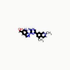 Cc1cc(-c2cnc(N)c(-n3ncc4cc(CO)ccc43)n2)cc2c1CCN(C)C2